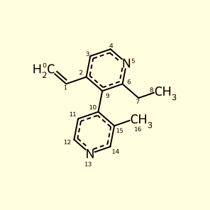 C=Cc1ccnc(CC)c1-c1ccncc1C